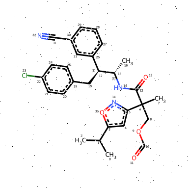 CC(C)c1cc(C(C)(COC=O)C(=O)N[C@@H](C)[C@@H](Cc2ccc(Cl)cc2)c2cccc(C#N)c2)no1